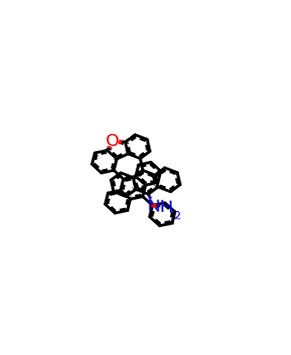 Nc1c2ccccc2c(-c2cccc3oc4cccc(-c5c6ccccc6c(-c6ccccc6)c6ccccc56)c4c23)c2ccccc12